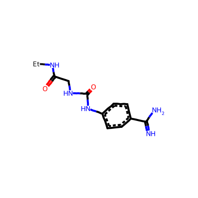 CCNC(=O)CNC(=O)Nc1ccc(C(=N)N)cc1